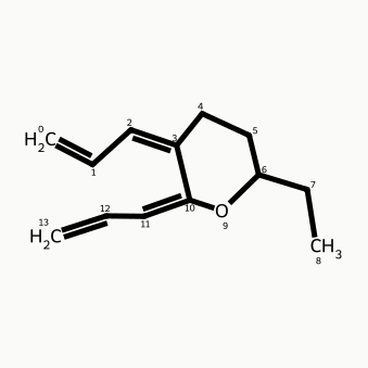 C=C/C=C1/CCC(CC)O/C1=C/C=C